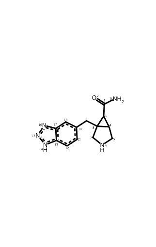 NC(=O)C1C2CNCC21Cc1ccc2[nH]nnc2c1